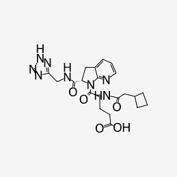 O=C(O)CCC(NC(=O)CC1CCC1)C(=O)N1c2ncccc2C[C@H]1C(=O)NCc1nn[nH]n1